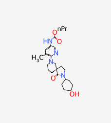 CCCOC(=O)Nc1cnc(N2CCC[C@]3(CCN([C@H]4CC[C@@H](O)CC4)C3=O)C2)c(C)c1